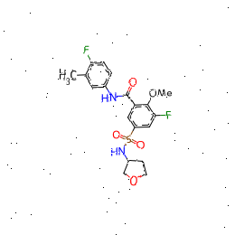 COc1c(F)cc(S(=O)(=O)NC2CCOC2)cc1C(=O)Nc1ccc(F)c(C)c1